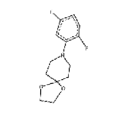 Fc1ccc(F)c(N2CCC3(CC2)OCCO3)c1